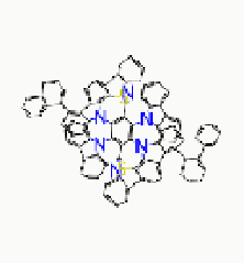 N#Cc1c(-n2c3ccccc3c3ccccc32)c(-n2c3cccc(-c4cccc5ccccc45)c3c3ccc4c5ccccc5sc4c32)c(C#N)c(-n2c3ccccc3c3ccccc32)c1-n1c2cccc(-c3ccccc3-c3ccccc3)c2c2ccc3c4ccccc4sc3c21